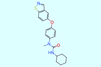 CN(C(=O)NC1CCCCC1)c1ccc(Oc2ccc3sncc3c2)cc1